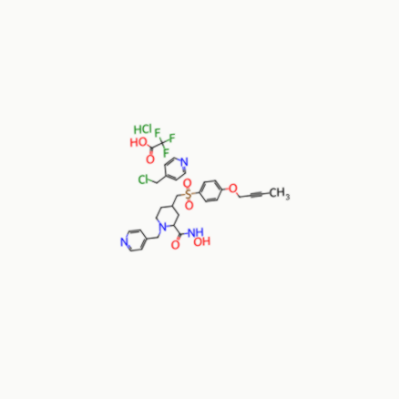 CC#CCOc1ccc(S(=O)(=O)CC2CCN(Cc3ccncc3)C(C(=O)NO)C2)cc1.Cl.ClCc1ccncc1.O=C(O)C(F)(F)F